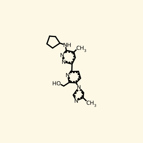 Cc1cn(-c2ccc(-c3cc(C)c(NC4CCCC4)nn3)nc2CO)cn1